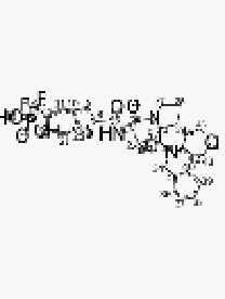 CC(C)(C)C(NC(=O)c1cc2cc(C(F)(F)P(=O)(O)O)ccc2s1)C(=O)N1CCCC1C(=O)N(Cc1ccccc1)C1CCOCC1